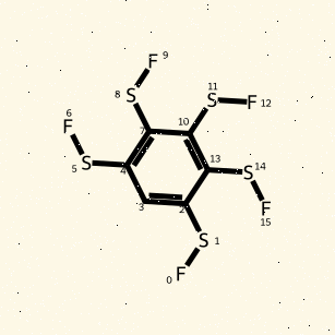 FSc1cc(SF)c(SF)c(SF)c1SF